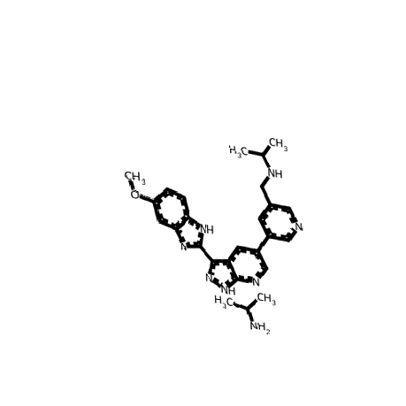 CC(C)N.COc1ccc2[nH]c(-c3n[nH]c4ncc(-c5cncc(CNC(C)C)c5)cc34)nc2c1